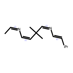 C/C=N\C=C/C(C)(C)/C=N\C=C\C(C)C